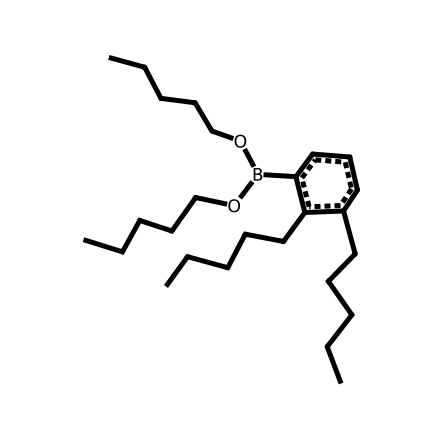 CCCCCOB(OCCCCC)c1cccc(CCCCC)c1CCCCC